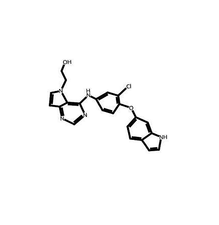 OCCn1ccc2ncnc(Nc3ccc(Oc4ccc5cc[nH]c5c4)c(Cl)c3)c21